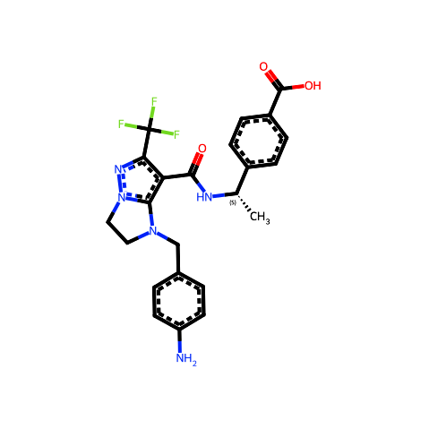 C[C@H](NC(=O)c1c(C(F)(F)F)nn2c1N(Cc1ccc(N)cc1)CC2)c1ccc(C(=O)O)cc1